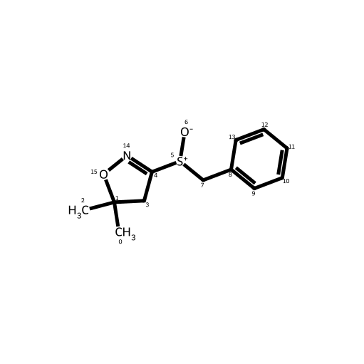 CC1(C)CC([S+]([O-])Cc2ccccc2)=NO1